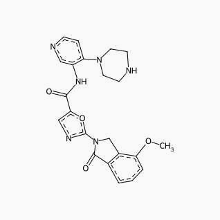 COc1cccc2c1CN(c1ncc(C(=O)Nc3cnccc3N3CCNCC3)o1)C2=O